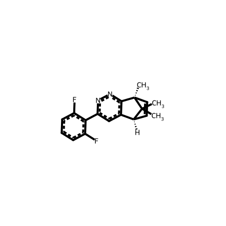 CC1(C)[C@H]2C=C[C@]1(C)c1nnc(-c3c(F)cccc3F)cc12